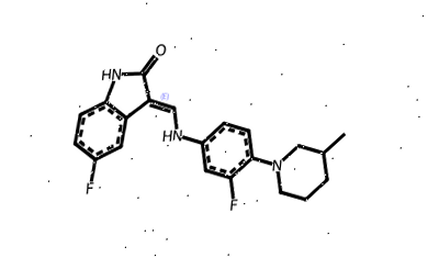 CC1CCCN(c2ccc(N/C=C3/C(=O)Nc4ccc(F)cc43)cc2F)C1